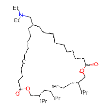 CCN(CC)CC(CCCCCCCCCC(=O)OCC(CCC(C)C)C(C)C)CCCCCCCCCC(=O)OCC(CCC(C)C)C(C)C